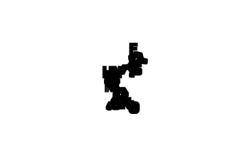 CCOc1cc(-c2cc(NCCc3c(C)sc4c(C)cc(F)cc34)ncn2)ccc1NC=O